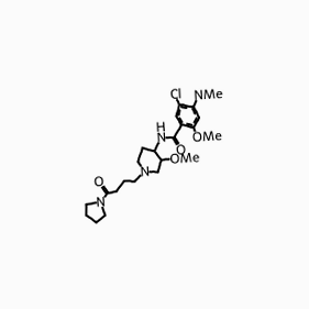 CNc1cc(OC)c(C(=O)NC2CCN(CCCC(=O)N3CCCC3)CC2OC)cc1Cl